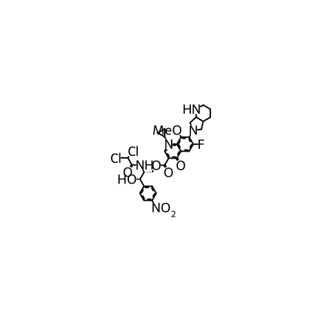 COc1c(N2CC3CCCNC3C2)c(F)cc2c(=O)c(C(=O)OC[C@@H](NC(=O)C(Cl)Cl)[C@H](O)c3ccc([N+](=O)[O-])cc3)cn(C3CC3)c12